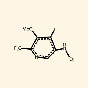 CCNc1cnc(C(F)(F)F)c(OC)c1I